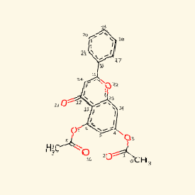 CC(=O)Oc1cc(OC(C)=O)c2c(=O)cc(-c3ccccc3)oc2c1